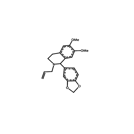 C=CCN1CCc2cc(OC)c(OC)cc2C1c1ccc2c(c1)OCO2